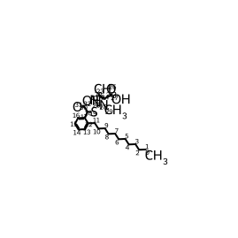 CCCCCCCCCCCCc1ccccc1[C@H](Sc1nc(C)c(C(=O)O)n1C)C(=O)O